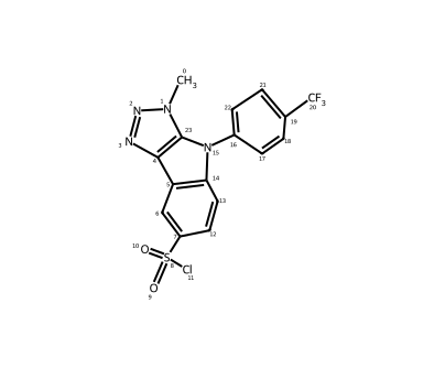 Cn1nnc2c3cc(S(=O)(=O)Cl)ccc3n(-c3ccc(C(F)(F)F)cc3)c21